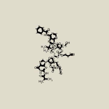 CC(C)C(=O)Nc1nc2c(ncn2[C@@H]2O[C@H](COP(=O)(OCCC#N)O[C@H]3[C@@H](O[Si](C)(C)C(C)(C)C)[C@H](n4cnc5c(NC(=O)c6ccccc6)ncnc54)O[C@@H]3CO)[C@@H](CCN=[N+]=[N-])[C@H]2O[PH](=O)O)c(=O)[nH]1